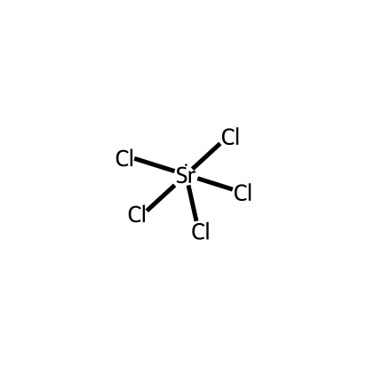 [Cl][Sr]([Cl])([Cl])([Cl])[Cl]